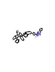 c1ccc(-c2c3c(c(-c4ccccc4)c4ccccc24)-c2ccc(-c4ccc5cc(-c6ccc(-c7cn8c(ncc9ccccc98)n7)cc6)ccc5c4)c4cccc-3c24)cc1